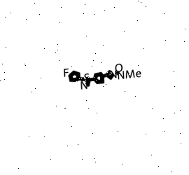 CNC(=O)N1CC(c2ccc(-c3cnc(-c4ccc(F)cc4)s3)cc2)C1